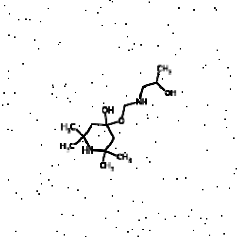 CC(O)CNCOC1(O)CC(C)(C)NC(C)(C)C1